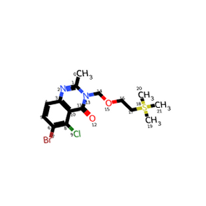 Cc1nc2ccc(Br)c(Cl)c2c(=O)n1COCCS(C)(C)C